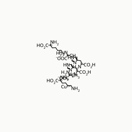 C[C@H](N)C(=O)[O-].C[C@H](N)C(=O)[O-].NCCCC[C@H](N)C(=O)O.NCCCC[C@H](N)C(=O)O.N[C@@H](Cc1c[nH]cn1)C(=O)O.N[C@@H](Cc1c[nH]cn1)C(=O)O.[Cu+2]